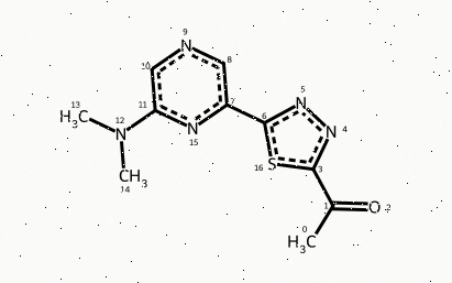 CC(=O)c1nnc(-c2cncc(N(C)C)n2)s1